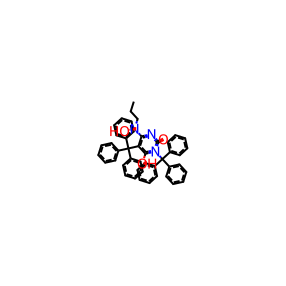 CCCN(O)c1nc(=O)n(C(c2ccccc2)(c2ccccc2)c2ccccc2)c(O)c1C(c1ccccc1)(c1ccccc1)c1ccccc1